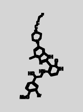 COc1ccc(C(O)CNc2cc[nH]c(=O)c2-c2nc3c(C)cc(N4CCN(CCCF)CC4)cc3[nH]2)cc1Br